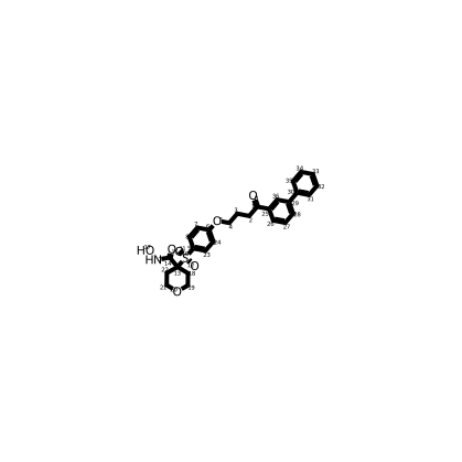 O=C(CCCOc1ccc(S(=O)(=O)C2(C(=O)NO)CCOCC2)cc1)c1cccc(-c2ccccc2)c1